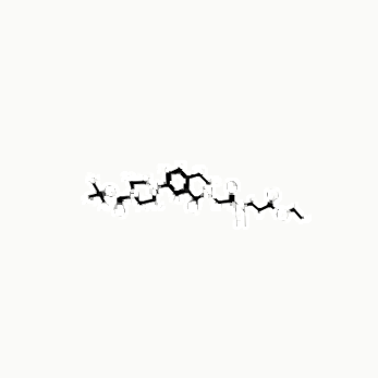 CCOC(=O)CCNC(=O)CN1CCc2ccc(N3CCN(C(=O)OC(C)(C)C)CC3)cc2C1=O